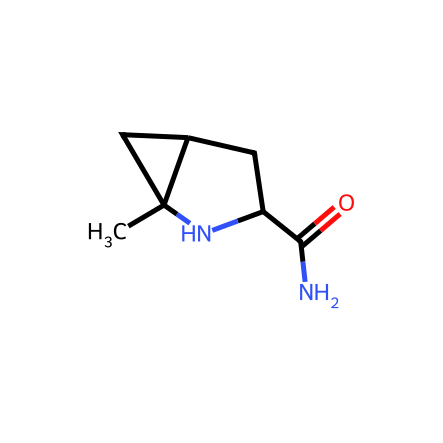 CC12CC1CC(C(N)=O)N2